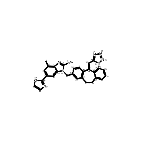 CCCc1nc2c(C)cc(-c3ncco3)cc2n1Cc1ccc2c(c1)CCc1ccccc1C2=Cc1nnn[nH]1